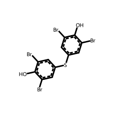 Oc1c(Br)cc(Sc2cc(Br)c(O)c(Br)c2)cc1Br